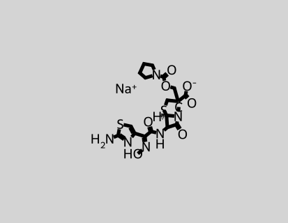 Nc1nc(C(=NO)C(=O)NC2C(=O)N3CC(COC(=O)N4CCCC4)(C(=O)[O-])CS[C@H]23)cs1.[Na+]